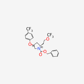 O=C(OCc1ccccc1)N1C[C@@H](Oc2ccc(C(F)(F)F)cc2)C[C@H]1CCOC(F)(F)F